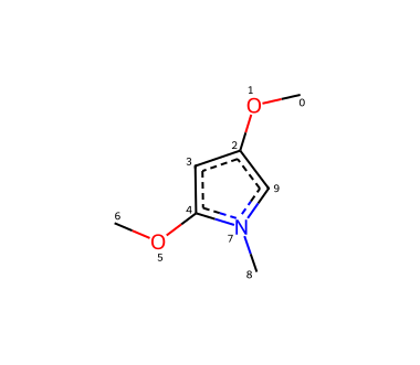 COc1cc(OC)n(C)c1